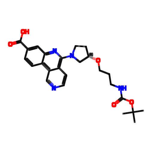 CC(C)(C)OC(=O)NCCCO[C@H]1CCN(c2nc3cc(C(=O)O)ccc3c3cnccc23)C1